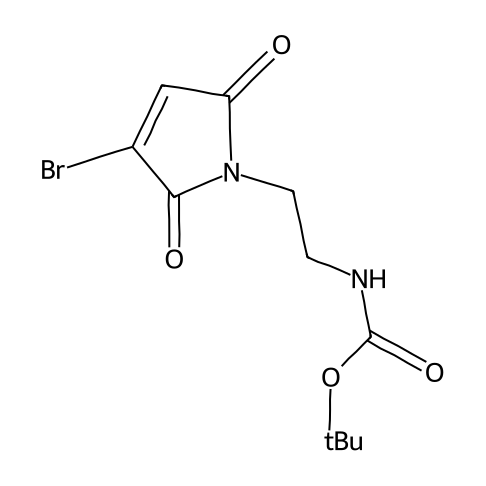 CC(C)(C)OC(=O)NCCN1C(=O)C=C(Br)C1=O